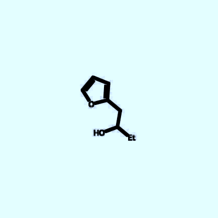 CCC(O)Cc1ccco1